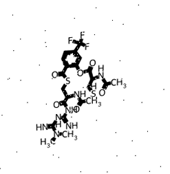 CC(=O)NC(CSC(=O)c1ccc(C(F)(F)F)cc1OC(=O)C(CS)NC(C)=O)C(=O)NC(=N)NC(=N)N(C)C